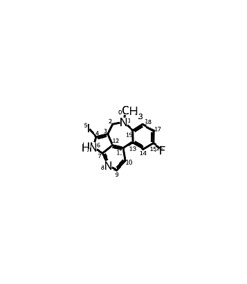 CN1Cc2c(I)[nH]c3nccc(c23)-c2cc(F)ccc21